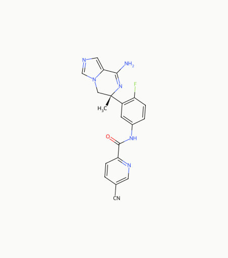 C[C@@]1(c2cc(NC(=O)c3ccc(C#N)cn3)ccc2F)Cn2cncc2C(N)=N1